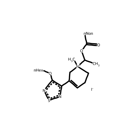 CCCCCCCCCC(=O)OC(C)[N+]1(C)CCC=C(c2nsnc2OCCCCCC)C1.[I-]